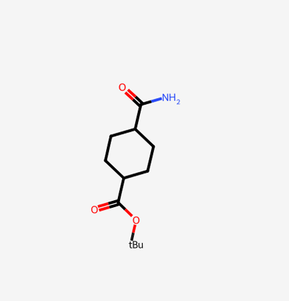 CC(C)(C)OC(=O)C1CCC(C(N)=O)CC1